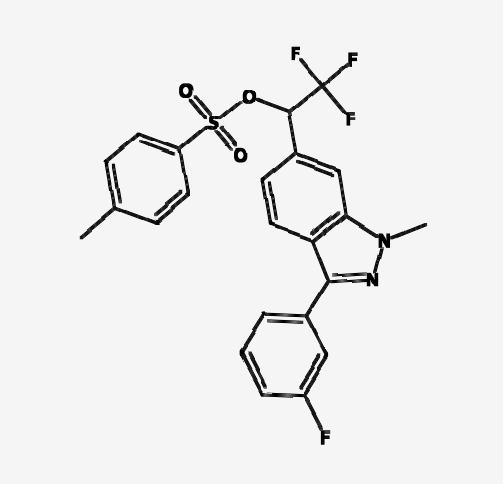 Cc1ccc(S(=O)(=O)OC(c2ccc3c(-c4cccc(F)c4)nn(C)c3c2)C(F)(F)F)cc1